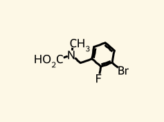 CN(Cc1cccc(Br)c1F)C(=O)O